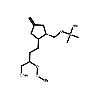 C=C1CC(CCC(COC)OOC(C)C)[C@H](CO[Si](C)(C)C(C)(C)C)C1